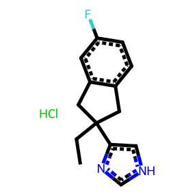 CCC1(c2c[nH]cn2)Cc2ccc(F)cc2C1.Cl